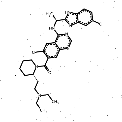 CCN(CC)CC[C@@H]1CCCCN1C(=O)c1cc2ncnc(N[C@@H](C)c3nc4cc(Cl)ccc4[nH]3)c2cc1Cl